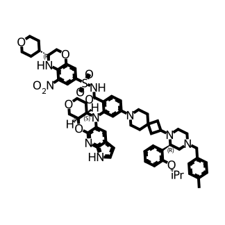 Cc1ccc(CN2CCN(C3CC4(CCN(c5ccc(C(=O)NS(=O)(=O)c6cc7c(c([N+](=O)[O-])c6)N[C@H](C6CCOCC6)CO7)c(N6c7cc8cc[nH]c8nc7O[C@H]7COCC[C@@H]76)c5)CC4)C3)[C@H](c3ccccc3OC(C)C)C2)cc1